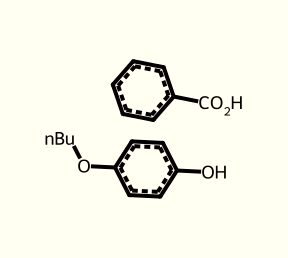 CCCCOc1ccc(O)cc1.O=C(O)c1ccccc1